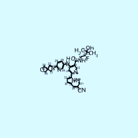 CC(C)(O)[C@H](F)CNC(=O)c1cnc(-c2ccc3cc(C#N)cnn23)cc1Nc1ccc(N2CC3(COC3)C2)nc1